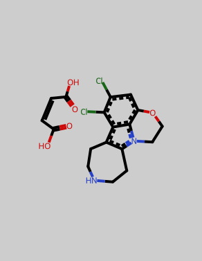 Clc1cc2c3c(c1Cl)c1c(n3CCO2)CCNCC1.O=C(O)/C=C\C(=O)O